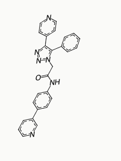 O=C(Cn1nnc(-c2ccncc2)c1-c1ccccc1)Nc1ccc(-c2cccnc2)cc1